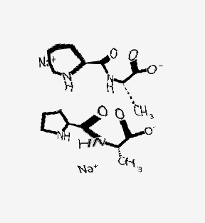 C[C@H](NC(=O)[C@@H]1CCCN1)C(=O)[O-].C[C@H](NC(=O)[C@@H]1CCCN1)C(=O)[O-].[Na+].[Na+]